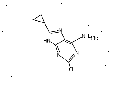 CC(C)(C)Nc1nc(Cl)nc2[nH]c(C3CC3)nc12